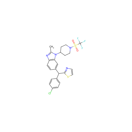 Cc1nc2ccc(C(c3ccc(Cl)cc3)c3nccs3)cc2n1C1CCN(S(=O)(=O)C(F)(F)F)CC1